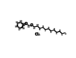 CCCCCCCCCCCCOCO[n+]1ccccc1.[Cl-]